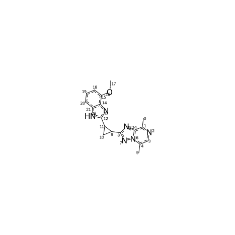 Cc1ncc(C)n2nc(C3CC3c3nc4c(OI)cccc4[nH]3)nc12